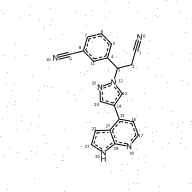 N#CCC(c1cccc(C#N)c1)n1cc(-c2ccnc3[nH]ccc23)cn1